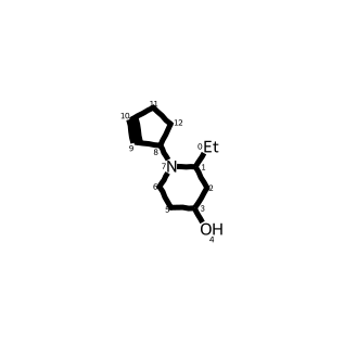 CCC1CC(O)CCN1C1C#CCC1